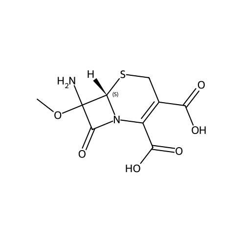 COC1(N)C(=O)N2C(C(=O)O)=C(C(=O)O)CS[C@H]21